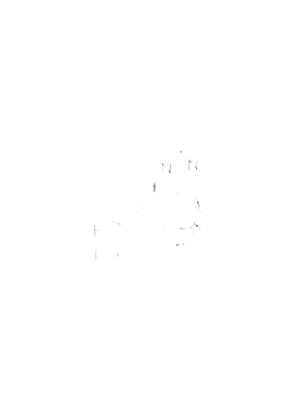 OCc1c(F)ccc(-c2cn3ccnc3c3c2-c2ccc4sc-3cc4c2)c1F